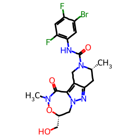 C[C@@H]1Cc2nn3c(c2CN1C(=O)Nc1cc(Br)c(F)cc1F)C(=O)N(C)O[C@@H](CO)C3